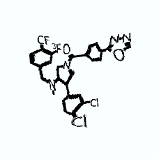 CN(Cc1ccc(C(F)(F)F)c(F)c1)C1CN(C(=O)c2ccc(-c3nnco3)cc2)CC1c1ccc(Cl)c(Cl)c1